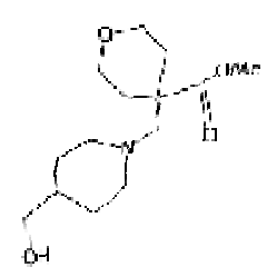 COC(=O)C1(CN2CCC(CO)CC2)CCOCC1